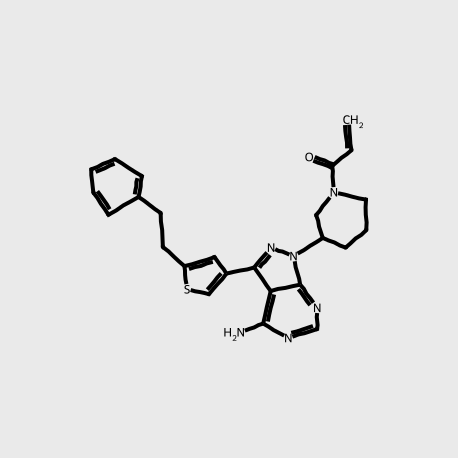 C=CC(=O)N1CCCC(n2nc(-c3csc(CCc4ccccc4)c3)c3c(N)ncnc32)C1